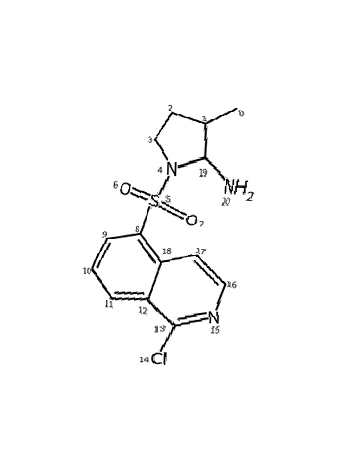 CC1CCN(S(=O)(=O)c2cccc3c(Cl)nccc23)C1N